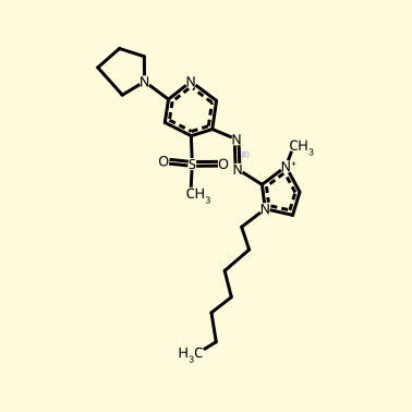 CCCCCCCn1cc[n+](C)c1/N=N/c1cnc(N2CCCC2)cc1S(C)(=O)=O